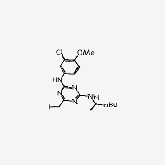 CCCCC(C)Nc1nc(CI)nc(Nc2ccc(OC)c(Cl)c2)n1